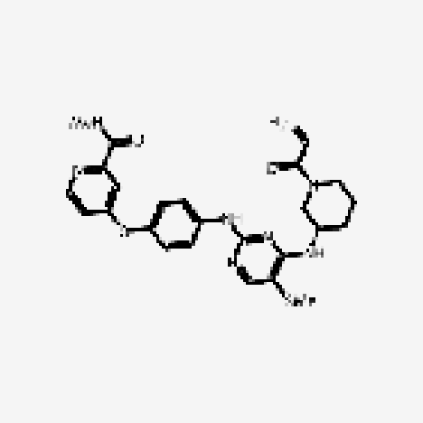 C=CC(=O)N1CCC[C@@H](Nc2nc(Nc3ccc(Oc4ccnc(C(=O)NC)c4)cc3)ncc2SC)C1